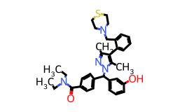 CCN(CC)C(=O)c1ccc(C(c2cccc(O)c2)n2nc(C)c(-c3ccccc3CN3CCSCC3)c2C)cc1